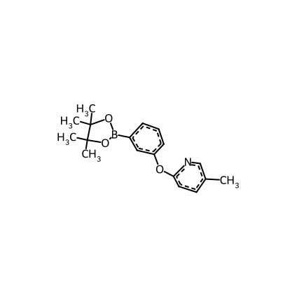 Cc1ccc(Oc2cccc(B3OC(C)(C)C(C)(C)O3)c2)nc1